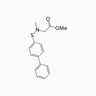 COC(=O)CN(C)Sc1ccc(-c2ccccc2)cc1